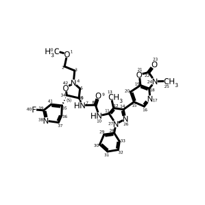 COCCN1C[C@@H](NC(=O)Nc2c(C)c(-c3cnc4c(c3)oc(=O)n4C)nn2-c2ccccc2)[C@H](c2ccnc(F)c2)O1